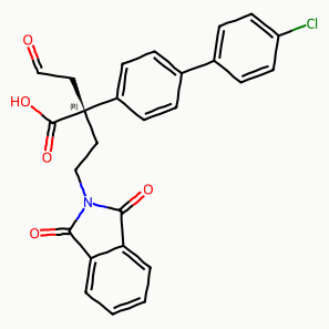 O=CC[C@@](CCN1C(=O)c2ccccc2C1=O)(C(=O)O)c1ccc(-c2ccc(Cl)cc2)cc1